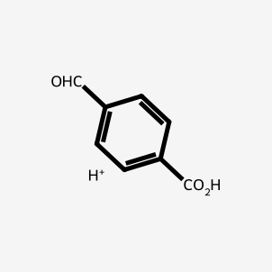 O=Cc1ccc(C(=O)O)cc1.[H+]